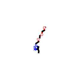 CCc1cn(CCOCCOCCOC)nn1